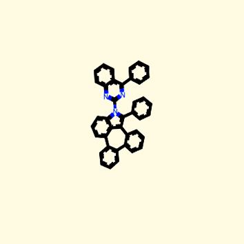 c1ccc(-c2nc(-n3c(-c4ccccc4)c4c5c(cccc53)-c3ccccc3-c3ccccc3-4)nc3ccccc23)cc1